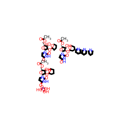 CC(=O)OC[C@H]1O[C@@H](n2ccc(=O)[nH]c2=O)[C@H](OC2CCCCO2)[C@@H]1O.CC(=O)OC[C@H]1O[C@@H](n2ccc(=O)[nH]c2=O)[C@H](OC2CCCCO2)[C@@H]1O.CC(=O)OC[C@H]1O[C@@H](n2ccc(=O)[nH]c2=O)[C@H](OC2CCCCO2)[C@@H]1O.O=P(O)(O)O.c1ccncc1.c1ccncc1.c1ccncc1